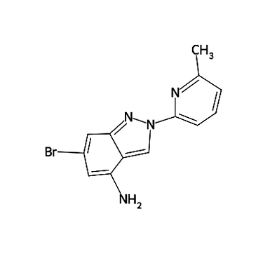 Cc1cccc(-n2cc3c(N)cc(Br)cc3n2)n1